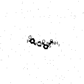 COc1ccc(CN2CCN(C(=O)C3CCCc4sc(C(N)=O)nc43)CC2)cc1F